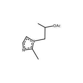 CC(=O)OC(C)Cn1ccnc1C